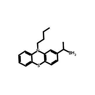 BC(C)c1ccc2c(c1)N(CCCC)c1ccccc1S2